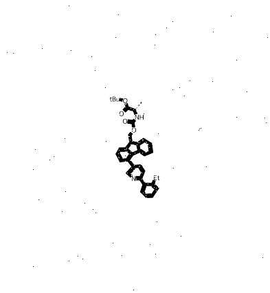 CCc1ccccc1-c1ccc(-c2cccc3c2-c2ccccc2C3COC(=O)N[C@@H](C)C(=O)OC(C)(C)C)cn1